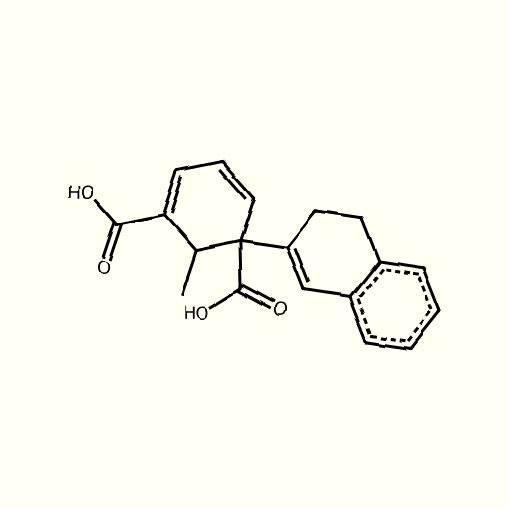 CC1C(C(=O)O)=CC=CC1(C(=O)O)C1=Cc2ccccc2CC1